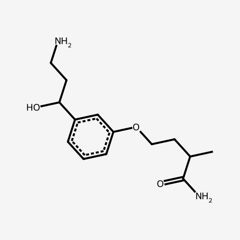 CC(CCOc1cccc(C(O)CCN)c1)C(N)=O